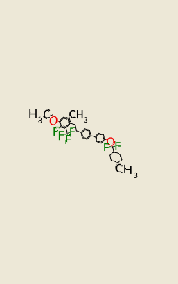 CCOc1cc(C)c(CCc2ccc(-c3ccc(OC(F)(F)C4CCC(C)CC4)cc3)cc2)c(C(F)(F)F)c1F